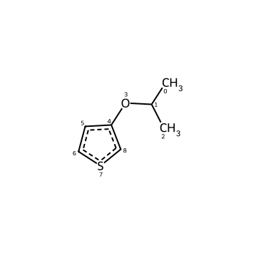 CC(C)Oc1ccsc1